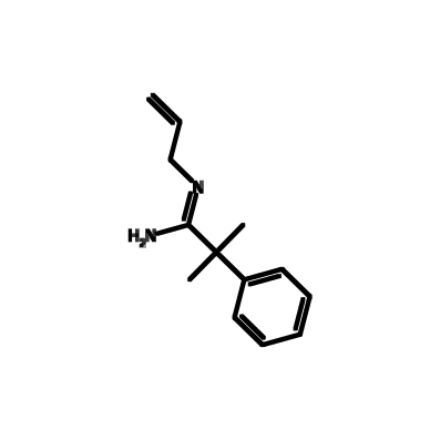 C=CCN=C(N)C(C)(C)c1ccccc1